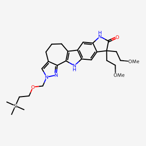 COCCC1(CCOC)C(=O)Nc2cc3c4c([nH]c3cc21)-c1nn(COCC[Si](C)(C)C)cc1CCC4